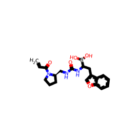 C=CC(=O)N1CCC[C@@H]1CNC(=O)NC(Cc1coc2ccccc12)B(O)O